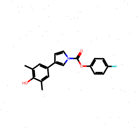 Cc1cc(-c2ccn(C(=O)Oc3ccc(F)cc3)c2)cc(C)c1O